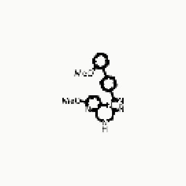 COc1ccc2c(n1)CNCc1nnc(-c3ccc(-c4ccccc4OC)cc3)n1-2